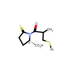 CC(=O)SCC(C)C(=O)N1C(=S)CC[C@H]1C(=O)O